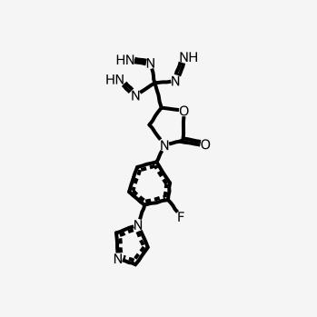 N=NC(N=N)(N=N)C1CN(c2ccc(-n3ccnc3)c(F)c2)C(=O)O1